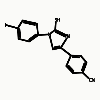 N#Cc1ccc(-c2cn(-c3ccc(I)cc3)c(S)n2)cc1